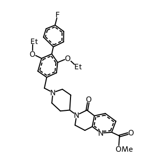 CCOc1cc(CN2CCC(N3CCc4nc(C(=O)OC)ccc4C3=O)CC2)cc(OCC)c1-c1ccc(F)cc1